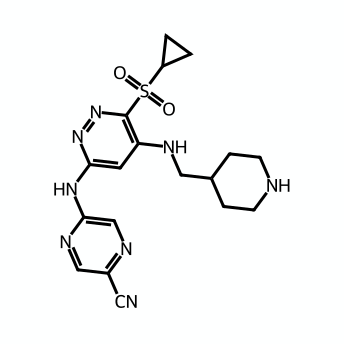 N#Cc1cnc(Nc2cc(NCC3CCNCC3)c(S(=O)(=O)C3CC3)nn2)cn1